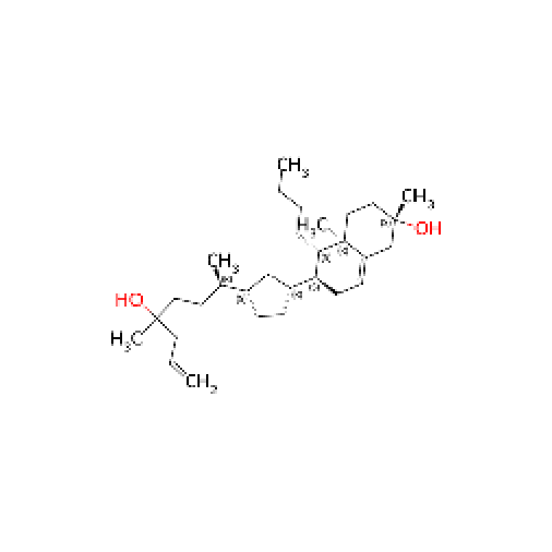 C=CCC(C)(O)CC[C@@H](C)[C@H]1CC[C@@H]([C@@H]2CC=C3C[C@@](C)(O)CC[C@]3(C)[C@H]2CCCC)C1